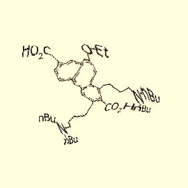 CCCCN(CCCC)CCCc1cc2c(cc(OCC)c3cc(C(=O)O)ccc32)c(CCCN(CCCC)CCCC)c1C(=O)O